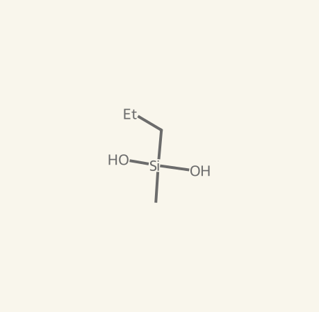 CCC[Si](C)(O)O